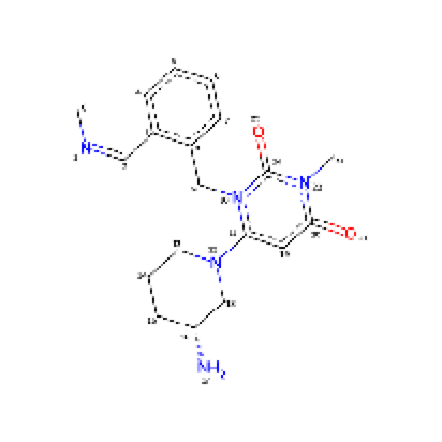 C/N=C\c1ccccc1Cn1c(N2CCC[C@@H](N)C2)cc(=O)n(C)c1=O